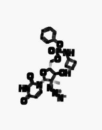 C[C@@]1(N=[N+]=[N-])[C@H](O)[C@@H](COP(=O)(NC2CCC2)Oc2ccccc2)O[C@H]1n1ccc(=O)[nH]c1=O